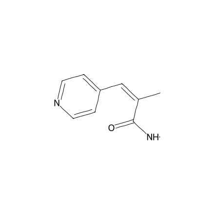 CC(=Cc1ccncc1)C([NH])=O